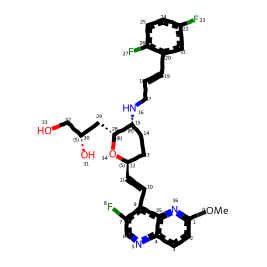 COc1ccc2ncc(F)c(C=C[C@@H]3CC[C@@H](NCC=Cc4cc(F)ccc4F)[C@@H](C[C@H](O)CO)O3)c2n1